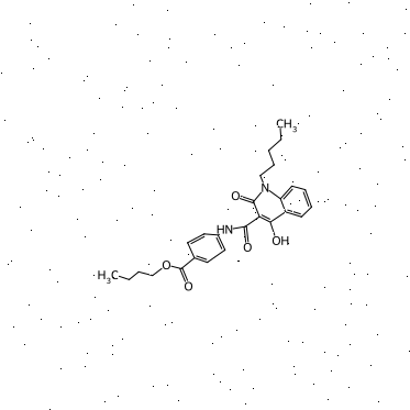 CCCCCn1c(=O)c(C(=O)Nc2ccc(C(=O)OCCCC)cc2)c(O)c2ccccc21